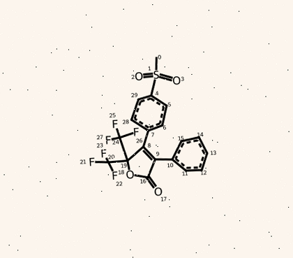 CS(=O)(=O)c1ccc(C2=C(c3ccccc3)C(=O)OC2(C(F)(F)F)C(F)(F)F)cc1